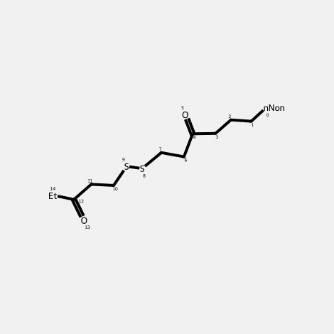 CCCCCCCCCCCCC(=O)CCSSCCC(=O)CC